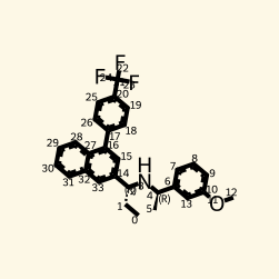 CC[C@@H](N[C@H](C)c1cccc(OC)c1)c1cc(-c2ccc(C(F)(F)F)cc2)c2ccccc2c1